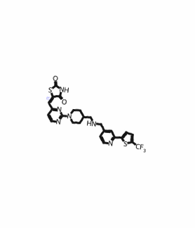 O=C1NC(=O)/C(=C\c2ccnc(N3CCC(CNCc4ccnc(-c5ccc(C(F)(F)F)s5)c4)CC3)n2)S1